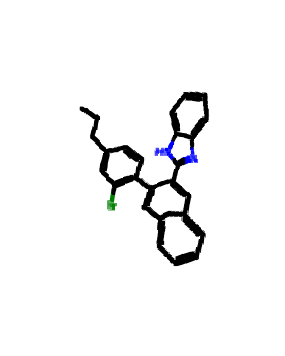 CCCc1ccc(-c2cc3ccccc3cc2-c2nc3ccccc3[nH]2)c(Br)c1